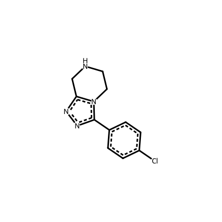 Clc1ccc(-c2nnc3n2CCNC3)cc1